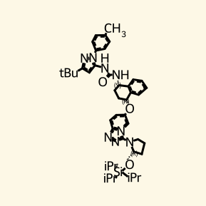 Cc1ccc(-n2nc(C(C)(C)C)cc2NC(=O)N[C@H]2CC[C@@H](Oc3ccc4nnc(N5CCC[C@@H]5CO[Si](C(C)C)(C(C)C)C(C)C)n4c3)c3ccccc32)cc1